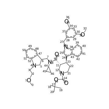 COCCN1CC(CN(C(=O)[C@H]2CN(C(=O)OC(C)(C)C)CC[C@@H]2c2cn(Cc3cc(OC)cc(OC)c3)c3ccccc23)C2CC2)c2ccccc21